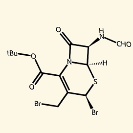 CC(C)(C)OC(=O)C1=C(CBr)[C@H](Br)S[C@@H]2[C@H](NC=O)C(=O)N12